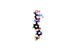 NC(CO)Cc1nc(-c2cccc(Oc3ccc(OC(F)F)cn3)c2)no1